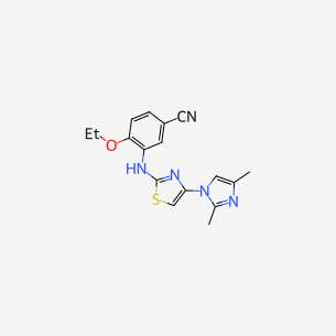 CCOc1ccc(C#N)cc1Nc1nc(-n2cc(C)nc2C)cs1